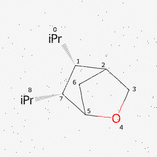 CC(C)[C@@H]1C2COC(C2)[C@@H]1C(C)C